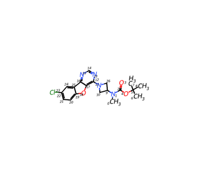 CN(C(=O)OC(C)(C)C)C1CN(c2ncnc3c2oc2ccc(Cl)cc23)C1